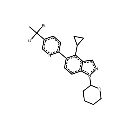 CCC(C)(CC)c1ccc(-c2ccc3c(cnn3C3CCCCO3)c2C2CC2)nc1